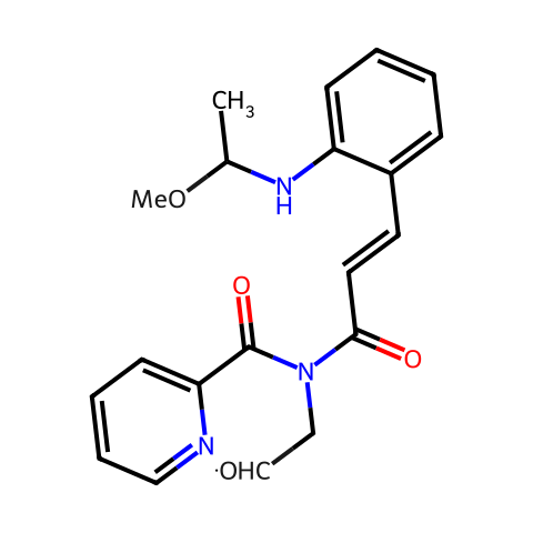 COC(C)Nc1ccccc1/C=C/C(=O)N(C[C]=O)C(=O)c1ccccn1